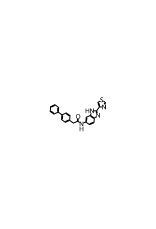 O=C(Cc1ccc(-c2ccccc2)cc1)Nc1ccc2nc(-c3cscn3)[nH]c2c1